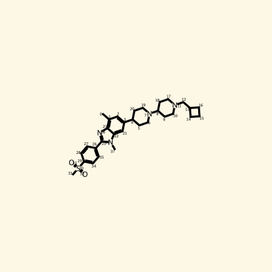 Cc1cc(C2CCN(C3CCN(CC4CCC4)CC3)CC2)cc2c1nc(-c1ccc(S(C)(=O)=O)cc1)n2C